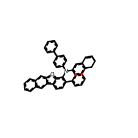 C1=Cc2cc(N(c3ccc(-c4ccccc4)cc3)c3c(-c4ccccc4)ccc4c3oc3cc5ccccc5cc34)ccc2CC1